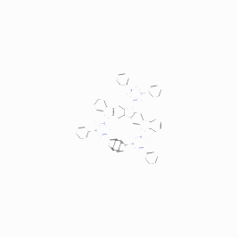 c1ccc(-c2nc(-c3ccccc3)nc(-n3c4ccccc4c4cc5c(cc43)c3cc4c(cc3n5-c3nc(-c5ccccc5)nc(-c5ccccc5)n3)c3ccccc3n4-c3nc(-c4ccccc4)nc(-c4ccccc4)n3)n2)cc1